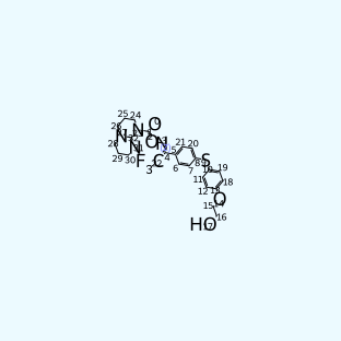 O=C(O/N=C(/c1ccc(Sc2ccc(OCCO)cc2)cc1)C(F)(F)F)N1CCCN2CCCN=C21